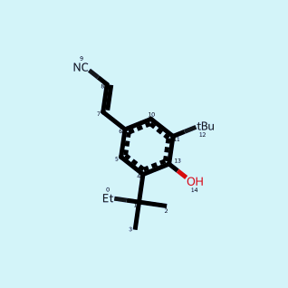 CCC(C)(C)c1cc(C=CC#N)cc(C(C)(C)C)c1O